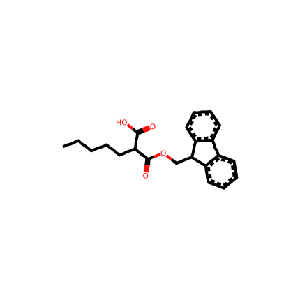 CCCCCC(C(=O)O)C(=O)OCC1c2ccccc2-c2ccccc21